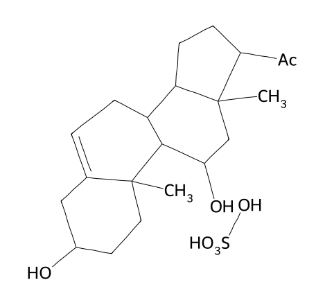 CC(=O)C1CCC2C3CC=C4CC(O)CCC4(C)C3C(O)CC12C.O=S(=O)(O)O